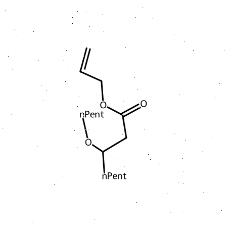 C=CCOC(=O)CC(CCCCC)OCCCCC